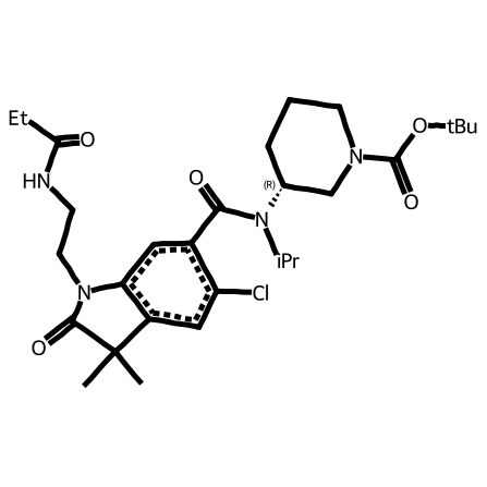 CCC(=O)NCCN1C(=O)C(C)(C)c2cc(Cl)c(C(=O)N(C(C)C)[C@@H]3CCCN(C(=O)OC(C)(C)C)C3)cc21